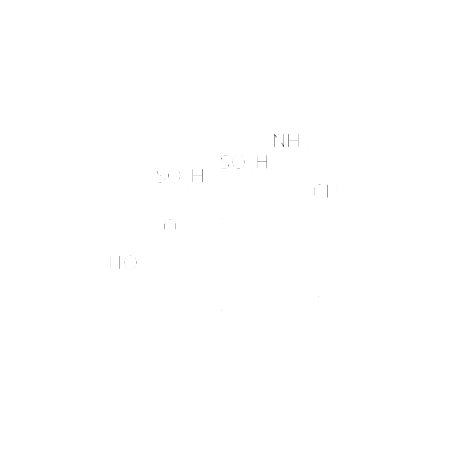 Cc1ccccc1S(=O)(=O)O.N.O=S(=O)(O)OO